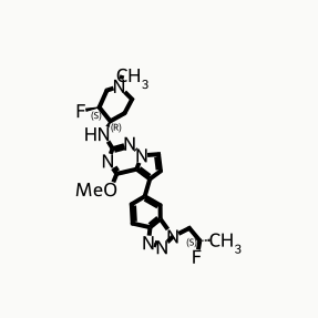 COc1nc(N[C@@H]2CCN(C)C[C@@H]2F)nn2ccc(-c3ccc4nnn(C[C@H](C)F)c4c3)c12